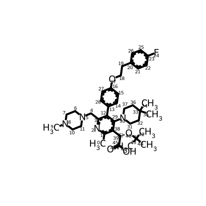 Cc1nc(CN2CCN(C)CC2)c(-c2ccc(OCCc3ccc(F)cc3)cc2)c(N2CCC(C)(C)CC2)c1[C@H](OC(C)(C)C)C(=O)O